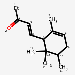 CCC(=O)C=CC1C(C)=CCC(C)C1(C)C